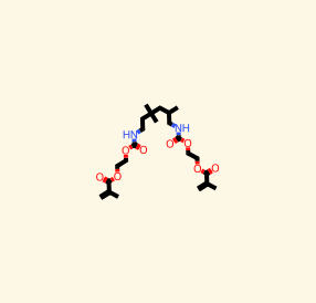 C=C(C)C(=O)OCCOC(=O)NCCC(C)(C)CC(C)CNC(=O)OCCOC(=O)C(=C)C